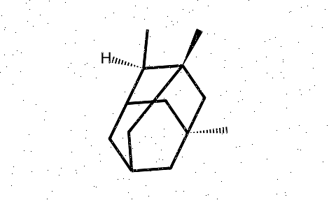 C[C@@H]1C2CC3C[C@@](C)(C2)C[C@]1(C)C3